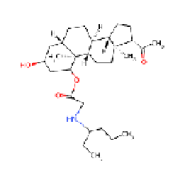 CCCC(CC)NCC(=O)OC1C[C@@H](O)C[C@@H]2CC[C@H]3[C@@H]4CC[C@H](C(C)=O)[C@@]4(C)CC[C@@H]3[C@@]12C